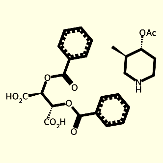 CC(=O)O[C@@H]1CCNC[C@H]1C.O=C(O[C@H](C(=O)O)[C@H](OC(=O)c1ccccc1)C(=O)O)c1ccccc1